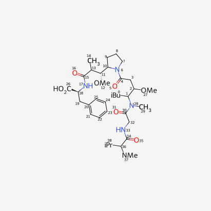 CCC(C)C(C(CC(=O)N1CCCC1[C@H](OC)C(C)C(=O)N[C@@H](Cc1ccccc1)C(=O)O)OC)N(C)C(=O)CNC(=O)C(NC)C(C)C